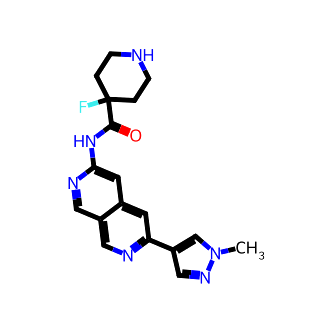 Cn1cc(-c2cc3cc(NC(=O)C4(F)CCNCC4)ncc3cn2)cn1